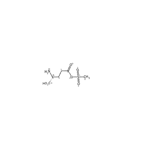 CS(=O)(=O)OC(=O)CC[C@@H](N)C(=O)O